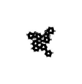 c1ccc(-c2ccc(N3B4c5c(cc6oc7ccccc7c6c5-c5ccc6ccccc6c53)-n3c5oc6ccccc6c5c5cccc4c53)cc2)cc1